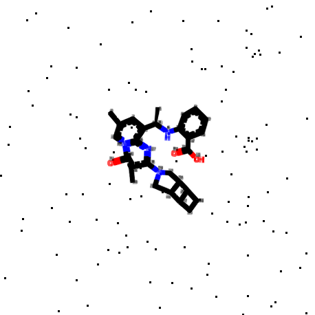 Cc1cc([C@@H](C)Nc2ccccc2C(=O)O)c2nc(N3CC4C5CCC5C4C3)c(C)c(=O)n2c1